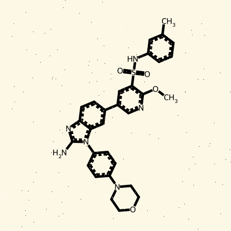 COc1ncc(-c2ccc3nc(N)n(-c4ccc(N5CCOCC5)cc4)c3c2)cc1S(=O)(=O)Nc1cccc(C)c1